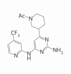 CC(=O)N1CCCC(c2cc(Nc3cc(C(F)(F)F)ccn3)nc(N)n2)C1